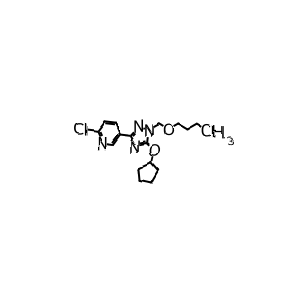 CCCCOCn1nc(-c2ccc(Cl)nc2)nc1OC1CCCC1